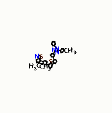 Cc1ccc(-c2nc(-c3ccccc3)nc(-c3cccc(-c4cccc5c4sc4c(-c6ccc7c(c6)C(C)(C)c6ccc8ncsc8c6-7)cccc45)c3)n2)cc1